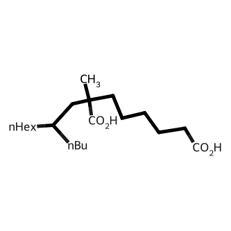 CCCCCCC(CCCC)CC(C)(CCCCCC(=O)O)C(=O)O